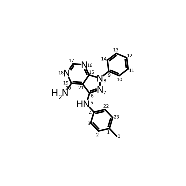 Cc1ccc(Nc2nn(-c3ccccc3)c3ncnc(N)c23)cc1